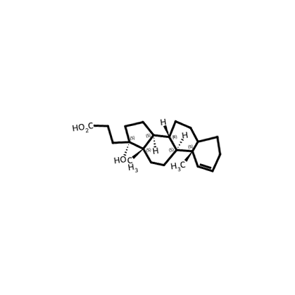 C[C@]12C=CCCC1CC[C@@H]1[C@@H]2CC[C@@]2(C)[C@H]1CC[C@]2(O)CCC(=O)O